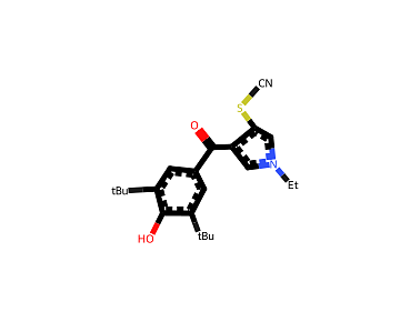 CCn1cc(SC#N)c(C(=O)c2cc(C(C)(C)C)c(O)c(C(C)(C)C)c2)c1